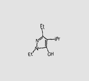 CCc1nn(CC)c(O)c1C(C)C